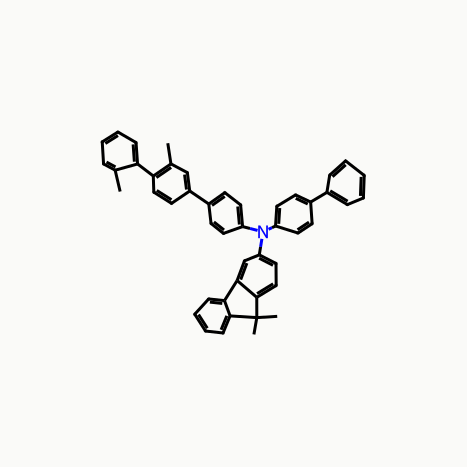 Cc1ccccc1-c1ccc(-c2ccc(N(c3ccc(-c4ccccc4)cc3)c3ccc4c(c3)-c3ccccc3C4(C)C)cc2)cc1C